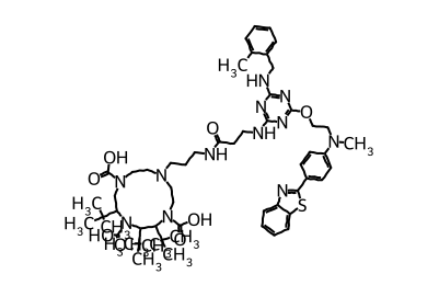 Cc1ccccc1CNc1nc(NCCC(=O)NCCCN2CCN(C(=O)O)CC(C(C)(C)C)N(C(=O)O)C(C(C)(C)C)C(C(C)(C)C)N(C(=O)O)CC2)nc(OCCN(C)c2ccc(-c3nc4ccccc4s3)cc2)n1